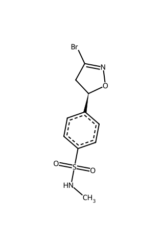 CNS(=O)(=O)c1ccc([C@H]2CC(Br)=NO2)cc1